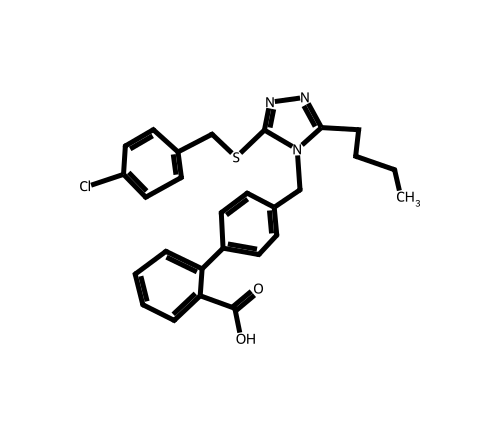 CCCCc1nnc(SCc2ccc(Cl)cc2)n1Cc1ccc(-c2ccccc2C(=O)O)cc1